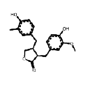 COc1cc(C[C@H]2C(=O)OCC2Cc2ccc(O)c(C)c2)ccc1O